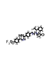 CC(C)=Cc1ccccc1N1C(=O)CS/C1=N\N=C\c1ccc(C(=N)/N=C\Nc2ccc(OC(F)(F)F)cc2)cc1